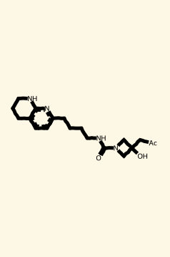 CC(=O)CC1(O)CN(C(=O)NCCCCc2ccc3c(n2)NCCC3)C1